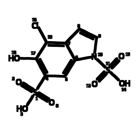 O=S(=O)(O)c1cc2c(ccn2S(=O)(=O)O)c(Cl)c1O